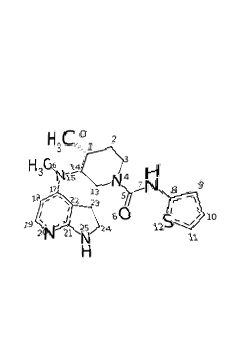 C[C@@H]1CCN(C(=O)Nc2cccs2)CC1N(C)c1ccnc2c1CCN2